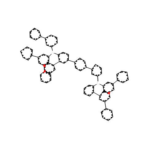 c1ccc(-c2cccc(-c3ccccc3N(c3cccc(-c4ccccc4)c3)c3cccc(-c4ccc(-c5ccc(N(c6cccc(-c7ccccc7)c6)c6cc(-c7ccccc7)cc(-c7ccccc7)c6)c(-c6ccccc6)c5)cc4)c3)c2)cc1